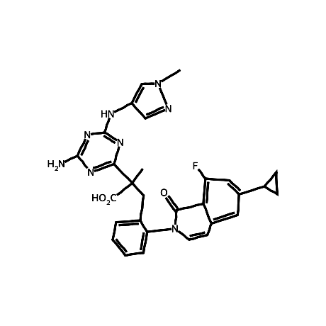 Cn1cc(Nc2nc(N)nc(C(C)(Cc3ccccc3-n3ccc4cc(C5CC5)cc(F)c4c3=O)C(=O)O)n2)cn1